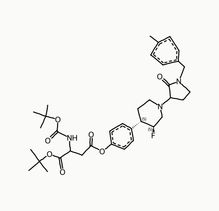 Cc1ccc(CN2CCC(N3CC[C@@H](c4ccc(OC(=O)CC(NC(=O)OC(C)(C)C)C(=O)OC(C)(C)C)cc4)[C@H](F)C3)C2=O)cc1